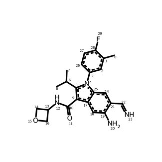 Cc1cc(-n2c(C(C)C)c(C(=O)NC3COC3)c3cc(N)c(C=N)cc32)ccc1F